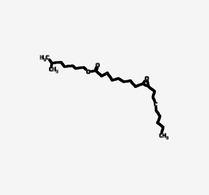 CCCCCCCCC1OC1CCCCCCCC(=O)OCCCCCC(C)C